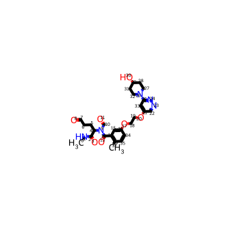 CNC(=O)C(CCC=O)N(C=O)C(=O)c1cc(OCCOc2cnnc(N3CCC(O)CC3)c2)ccc1C